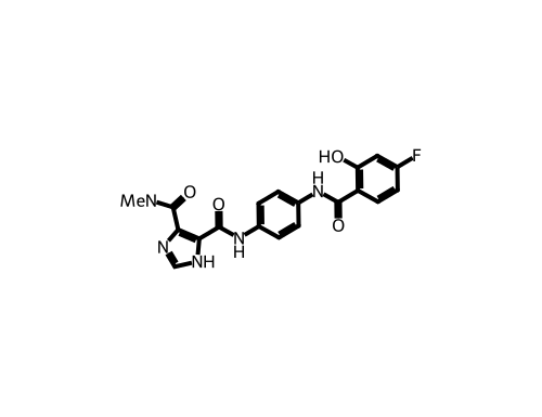 CNC(=O)c1nc[nH]c1C(=O)Nc1ccc(NC(=O)c2ccc(F)cc2O)cc1